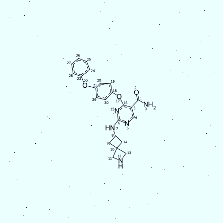 NC(=O)c1cnc(NC2CC3(CNC3)C2)nc1Oc1ccc(Oc2ccccc2)cc1